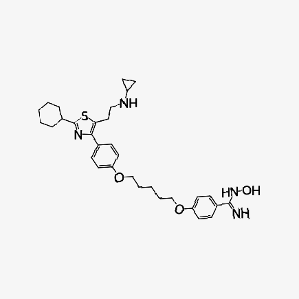 N=C(NO)c1ccc(OCCCCCOc2ccc(-c3nc(C4CCCCC4)sc3CCNC3CC3)cc2)cc1